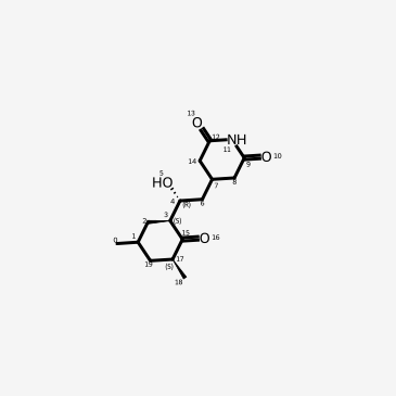 CC1C[C@@H]([C@H](O)CC2CC(=O)NC(=O)C2)C(=O)[C@@H](C)C1